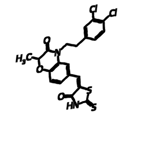 CC1Oc2ccc(C=C3SC(=S)NC3=O)cc2N(CCc2ccc(Cl)c(Cl)c2)C1=O